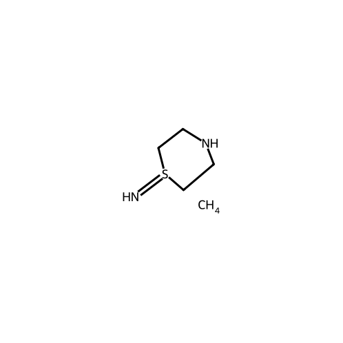 C.N=S1CCNCC1